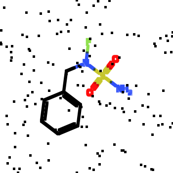 NS(=O)(=O)N(F)Cc1ccccc1